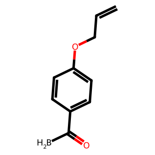 BC(=O)c1ccc(OCC=C)cc1